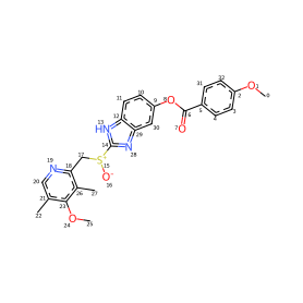 COc1ccc(C(=O)Oc2ccc3[nH]c([S+]([O-])Cc4ncc(C)c(OC)c4C)nc3c2)cc1